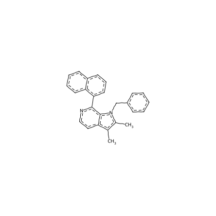 Cc1c(C)n(Cc2ccccc2)c2c(-c3cccc4ccccc34)nccc12